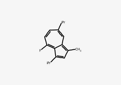 Cc1cc(C(C)C)c2c(F)ccc(C(C)C)cc1-2